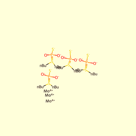 CCCCS(CCCC)=P([O-])([O-])[S-].CCCCS(CCCC)=P([O-])([O-])[S-].CCCCS(CCCC)=P([O-])([O-])[S-].CCCCS(CCCC)=P([O-])([O-])[S-].[Mo+4].[Mo+4].[Mo+4]